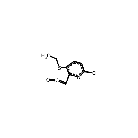 CCSc1ccc(Cl)nc1C=C=O